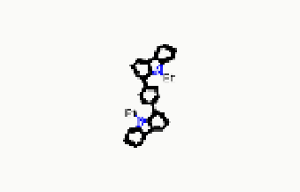 CCn1c2ccccc2c2cccc(-c3ccc(-c4cccc5c6ccccc6n(CC)c45)cc3)c21